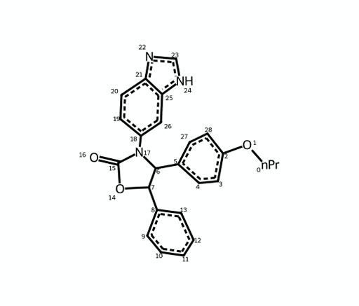 CCCOc1ccc(C2C(c3ccccc3)OC(=O)N2c2ccc3nc[nH]c3c2)cc1